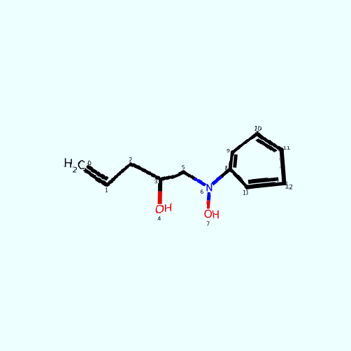 C=CCC(O)CN(O)c1ccccc1